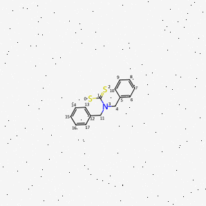 [S]C(=S)N(Cc1ccccc1)Cc1ccccc1